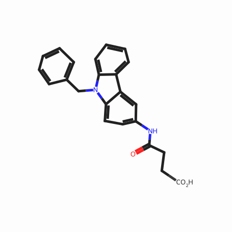 O=C(O)CCC(=O)Nc1ccc2c(c1)c1ccccc1n2Cc1ccccc1